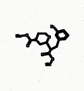 CC(C)(C)OC(=O)C(Cc1cccc(Br)c1)C1CN(C(=O)OC(C)(C)C)CCO1